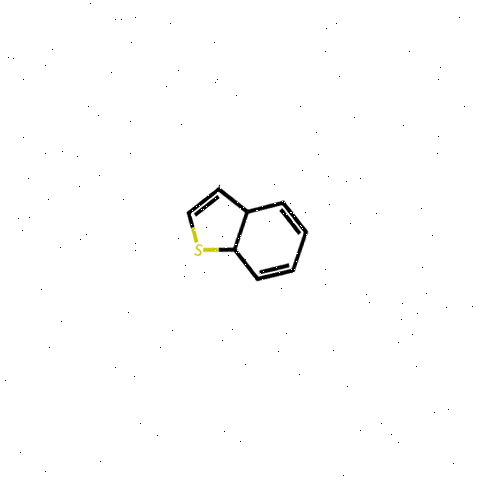 [C]1=CSC2C=CC=CC12